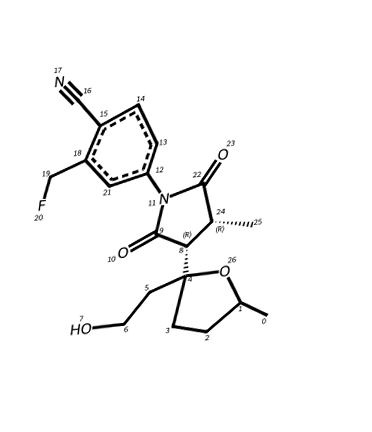 CC1CCC(CCO)([C@@H]2C(=O)N(c3ccc(C#N)c(CF)c3)C(=O)[C@@H]2C)O1